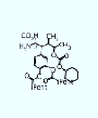 CCCC(C)C(=O)Oc1ccc(C(C(C)C(C)OC(=O)OC2CCCCC2)[C@H](N)C(=O)O)cc1OC(=O)C(C)CCC